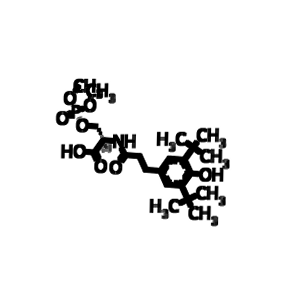 COP(=O)(OC)OC[C@H](NC(=O)CCc1cc(C(C)(C)C)c(O)c(C(C)(C)C)c1)C(=O)O